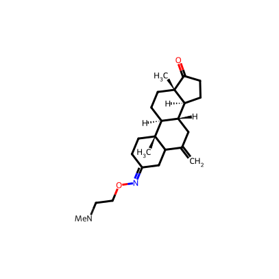 C=C1C[C@@H]2[C@H](CC[C@]3(C)C(=O)CC[C@@H]23)[C@@]2(C)CCC(=NOCCNC)CC12